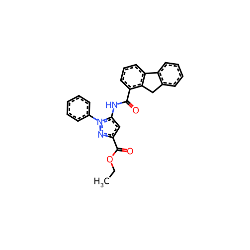 CCOC(=O)c1cc(NC(=O)c2cccc3c2Cc2ccccc2-3)n(-c2ccccc2)n1